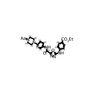 CCOC(=O)c1ccc(Nc2nnc(C(=O)Nc3ccc(N4CCN(C(C)=O)CC4)nc3)o2)cc1